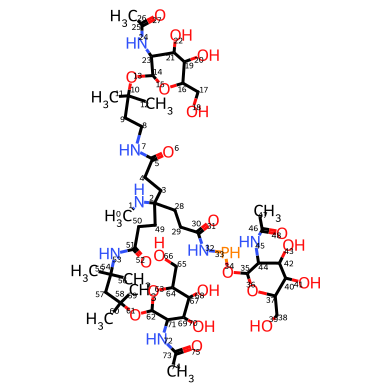 CNC(CCC(=O)NCCC(C)(C)OC1OC(CO)C(O)C(O)C1NC(C)=O)(CCC(=O)NPOC1OC(CO)C(O)C(O)C1NC(C)=O)CCC(=O)NC(C)(C)CC(C)(C)OC1OC(CO)C(O)C(O)C1NC(C)=O